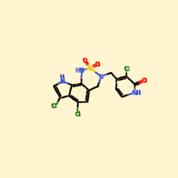 O=c1[nH]ccc(CN2Cc3cc(Cl)c4c(Cl)c[nH]c4c3NS2(=O)=O)c1Cl